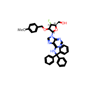 COc1ccc(COC2[C@@H](F)[C@@H](CO)O[C@H]2n2cnc3c(NC(c4ccccc4)(c4ccccc4)c4ccccc4)ncnc32)cc1